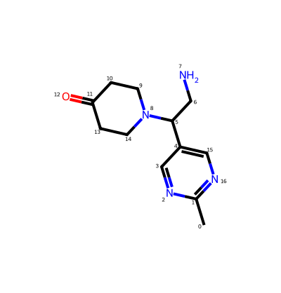 Cc1ncc(C(CN)N2CCC(=O)CC2)cn1